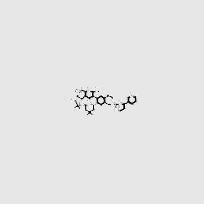 CC1(C)CCN(c2c(-c3ccc4c(c3)CCN(c3nccc(-c5cccnc5)n3)C4)c(N)nc(Cl)c2C(OC(C)(C)C)C(=O)O)CC1